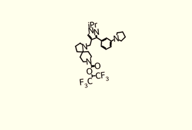 CC(C)n1cc(CN2CCCC23CCN(C(=O)OC(C(F)(F)F)C(F)(F)F)CC3)c(-c2cccc(N3CCCC3)c2)n1